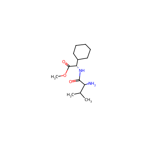 COC(=O)[C@@H](NC(=O)C(N)C(C)C)C1CCCCC1